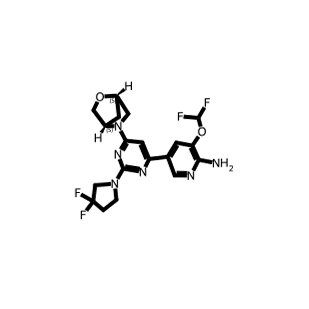 Nc1ncc(-c2cc(N3C[C@@H]4C[C@H]3CO4)nc(N3CCC(F)(F)C3)n2)cc1OC(F)F